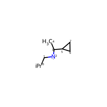 CC(C)C[N]C(C)C1CC1